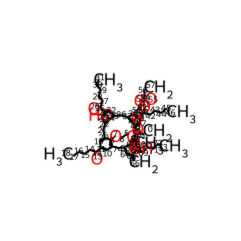 C=CC(=O)OCCOc1c2cc(C(=O)CCCCC)cc1Cc1cc(C(=O)CCCCC)cc(c1O)Cc1cc(C(=O)CCCCC)cc(c1OCCOC(=O)C=C)CC(C)C(O)/C(=C\C(=C)C(=O)CCCCC)C2